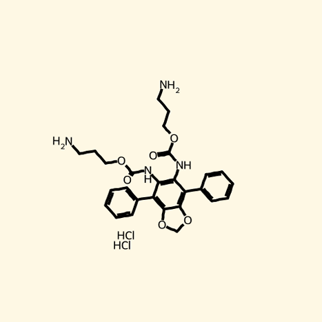 Cl.Cl.NCCCOC(=O)Nc1c(NC(=O)OCCCN)c(-c2ccccc2)c2c(c1-c1ccccc1)OCO2